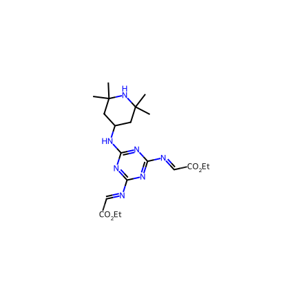 CCOC(=O)C=Nc1nc(N=CC(=O)OCC)nc(NC2CC(C)(C)NC(C)(C)C2)n1